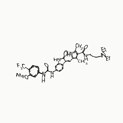 CCN(CC)CCNC(=O)c1c(C)[nH]c(C=C2C(=O)Nc3cc(NC(=O)Nc4ccc(C(F)(F)F)c(OC)c4)ccc32)c1C